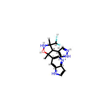 CC1(c2cnc3cc[nH]c3c2)ONC(C)(C(F)F)C1c1cn[nH]c1